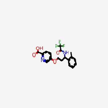 Cc1ccccc1C(CCOc1ccc(C(=O)O)nc1)NC(=O)C(F)(F)F